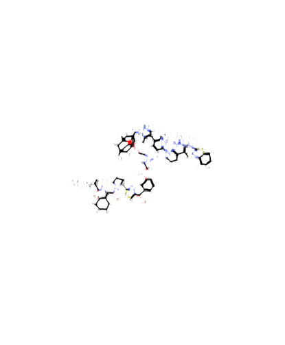 CN[C@@H](C)C(=O)N[C@H](C(=O)N1CCC[C@H]1c1nc(C(=O)c2cccc(OCCN(C)CCOC34CC5(C)CC(C)(CC(Cn6ncc(-c7ccc(N8CCCc9c8nnc(Nc8nc%10ccccc%10s8)c9C)nc7C(=O)O)c6C)(C5)C3)C4)c2)cs1)C1CCCCC1